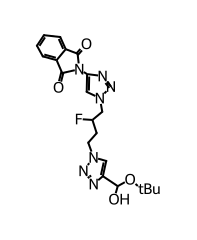 CC(C)(C)OC(O)c1cn(CCC(F)Cn2cc(N3C(=O)c4ccccc4C3=O)nn2)nn1